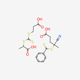 CC(C#N)(CCC(=O)O)SC(=S)c1ccccc1.CC(SC(=S)SCCC(=O)O)C(=O)O